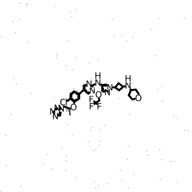 C[C@@H](Cn1cnnn1)Oc1cc(-c2cnc(Nc3cn(C4CC(NC5CCOCC5)C4)nc3OCC(F)(F)F)nc2)ccc1Cl